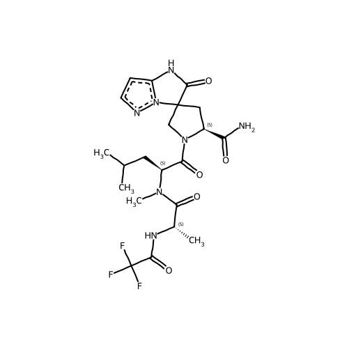 CC(C)C[C@@H](C(=O)N1CC2(C[C@H]1C(N)=O)C(=O)Nc1ccnn12)N(C)C(=O)[C@H](C)NC(=O)C(F)(F)F